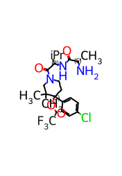 CC(C)[C@@H](NC(=O)[C@H](C)N)C(=O)N1CC[C@](OC(=O)C(F)(F)F)(c2ccc(Cl)cc2)C(C)(C)C1